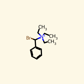 CC[N+](CC)(CC)C(Br)c1ccccc1